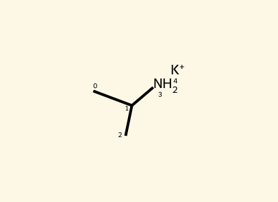 CC(C)N.[K+]